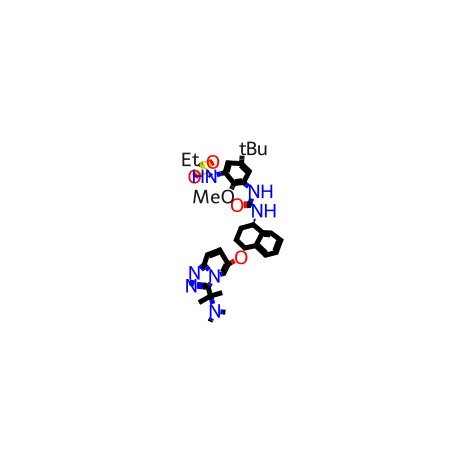 CCS(=O)(=O)Nc1cc(C(C)(C)C)cc(NC(=O)N[C@H]2CC[C@@H](Oc3ccc4nnc(C(C)(C)N(C)C)n4c3)c3ccccc32)c1OC